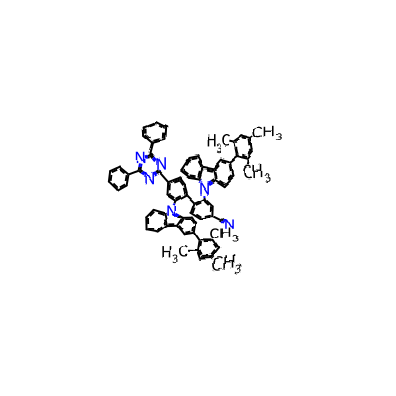 Cc1cc(C)c(-c2ccc3c(c2)c2ccccc2n3-c2cc(C#N)ccc2-c2ccc(-c3nc(-c4ccccc4)nc(-c4ccccc4)n3)cc2-n2c3ccccc3c3cc(-c4c(C)cc(C)cc4C)ccc32)c(C)c1